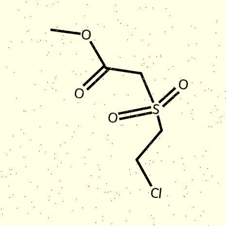 COC(=O)CS(=O)(=O)CCCl